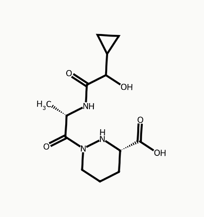 C[C@H](NC(=O)C(O)C1CC1)C(=O)N1CCC[C@@H](C(=O)O)N1